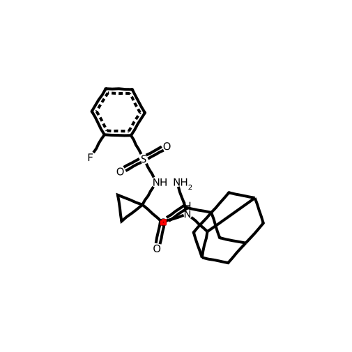 NC(=O)C12CC3CC(C1)C(NC(=O)C1(NS(=O)(=O)c4ccccc4F)CC1)C(C3)C2